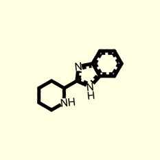 c1ccc2[nH]c(C3CCCCN3)nc2c1